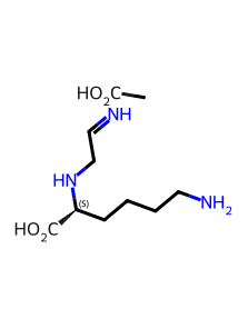 CC(=O)O.N=CCN[C@@H](CCCCN)C(=O)O